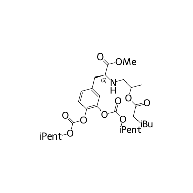 CCCC(C)OC(=O)Oc1ccc(C[C@H](NCC(C)OC(=O)CC(C)CC)C(=O)OC)cc1OC(=O)OC(C)CCC